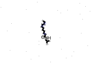 C/C=C\C=C/CCC/C=C/C(=O)NCC(C)C